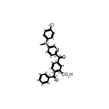 CN(c1ccc(Cl)cc1)c1ccc(C(=O)c2ccc(C(=O)c3ccccc3)c(C(=O)O)c2)nc1